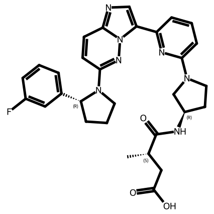 C[C@@H](CC(=O)O)C(=O)N[C@@H]1CCN(c2cccc(-c3cnc4ccc(N5CCC[C@@H]5c5cccc(F)c5)nn34)n2)C1